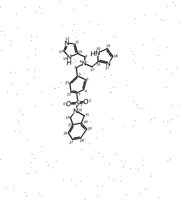 O=S(=O)(c1ccc(CN(Cc2cnc[nH]2)Cc2ncc[nH]2)cc1)N1Cc2ccccc2C1